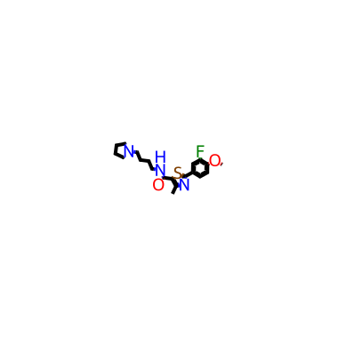 COc1ccc(-c2nc(C)c(C(=O)NCCCCN3CCCC3)s2)cc1F